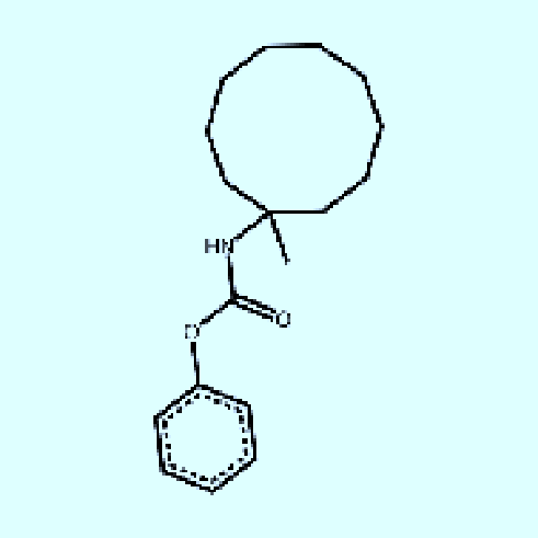 CC1(NC(=O)Oc2ccccc2)CCCCCCCCC1